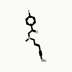 CN(CC=CC#CC(C)(C)C)CC(=O)c1ccc(F)cc1